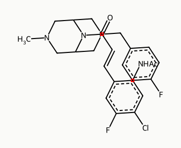 CC(=O)Nc1cc(Cl)c(F)cc1/C=C/C(=O)N1C2CN(C)CC1CN(Cc1ccc(F)cc1)C2